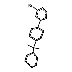 CC(C)(c1ccccc1)c1ccc(-c2cccc(Br)c2)cc1